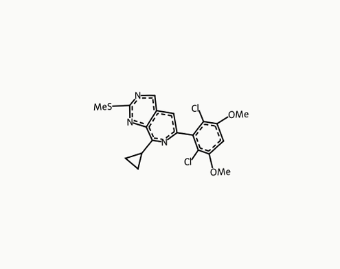 COc1cc(OC)c(Cl)c(-c2cc3cnc(SC)nc3c(C3CC3)n2)c1Cl